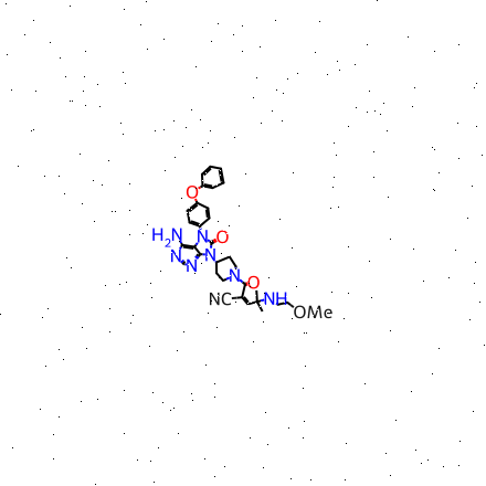 COCCNC(C)(C)/C=C(/C#N)C(=O)N1CCC(n2c(=O)n(-c3ccc(Oc4ccccc4)cc3)c3c(N)ncnc32)CC1